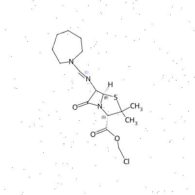 CC1(C)S[C@@H]2C(/N=C/N3CCCCCC3)C(=O)N2[C@H]1C(=O)OCCl